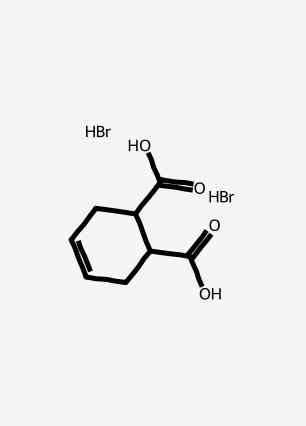 Br.Br.O=C(O)C1CC=CCC1C(=O)O